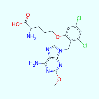 COc1nc(N)c2ncn(Cc3c(Cl)cc(Cl)cc3OCCCC(N)C(=O)O)c2n1